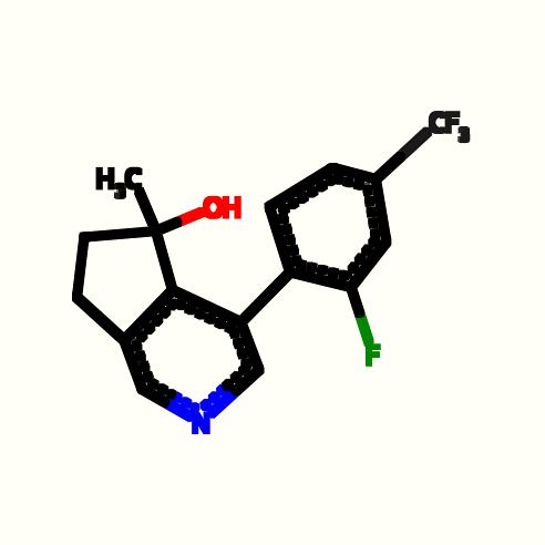 CC1(O)CCc2cncc(-c3ccc(C(F)(F)F)cc3F)c21